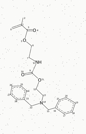 C=C(C)C(=O)OCCNC(=O)OCCN(Cc1ccccc1)Cc1ccccc1